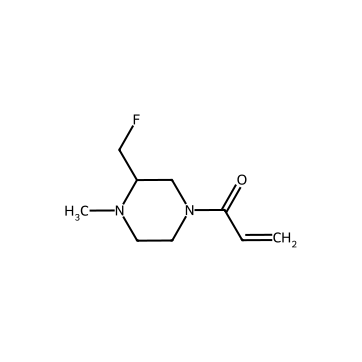 C=CC(=O)N1CCN(C)C(CF)C1